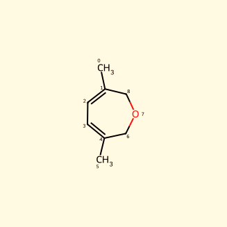 CC1=CC=C(C)COC1